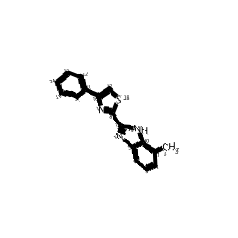 Cc1cccc2nc(-c3nc(-c4ccccc4)cs3)[nH]c12